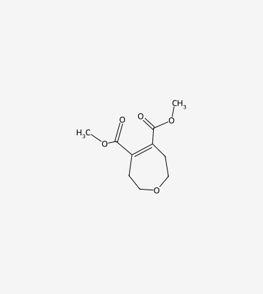 COC(=O)C1=C(C(=O)OC)CCOCC1